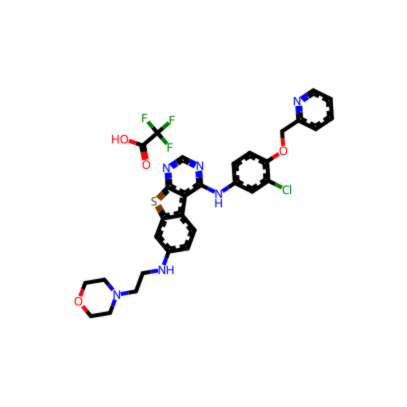 Clc1cc(Nc2ncnc3sc4cc(NCCN5CCOCC5)ccc4c23)ccc1OCc1ccccn1.O=C(O)C(F)(F)F